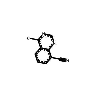 N#Cc1cccc2c(Cl)ncnc12